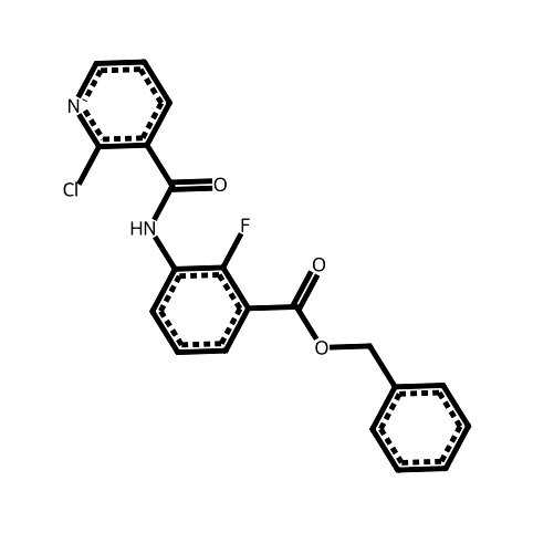 O=C(Nc1cccc(C(=O)OCc2ccccc2)c1F)c1cccnc1Cl